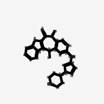 CN1C(=O)c2sc3ccccc3c2N(C)c2nc(Nc3cnn(C4CCNCC4)c3)ncc21